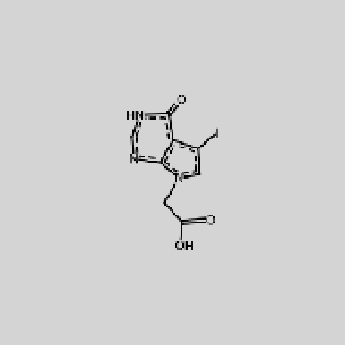 O=C(O)Cn1cc(I)c2c(=O)[nH]cnc21